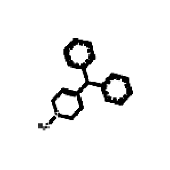 CN1CC=C(C(c2ccccc2)c2ccccc2)CC1